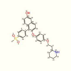 CS(=O)(=O)c1ccc(-c2c(Oc3ccc(OCCC4CCCCN4)cc3)ccc3cc(O)ccc23)cc1